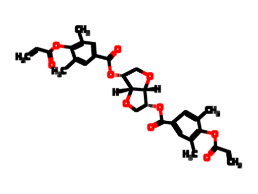 C=CC(=O)Oc1c(C)cc(C(=O)O[C@@H]2CO[C@H]3[C@@H]2OC[C@H]3OC(=O)c2cc(C)c(OC(=O)C=C)c(C)c2)cc1C